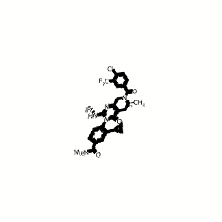 CNC(=O)c1ccc(-n2c(NC(C)C)nc3c(c2=O)C[C@@H](C)N(C(=O)c2ccc(Cl)c(C(F)(F)F)c2)C3)c(C2CC2)c1